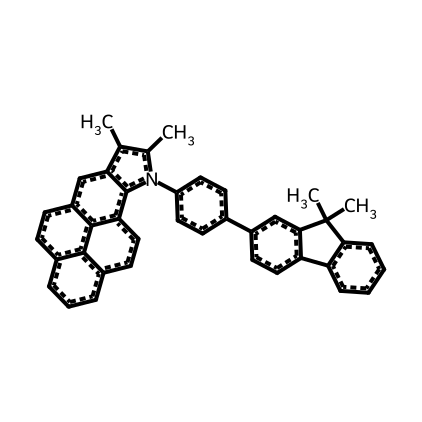 Cc1c(C)n(-c2ccc(-c3ccc4c(c3)C(C)(C)c3ccccc3-4)cc2)c2c1cc1ccc3cccc4ccc2c1c34